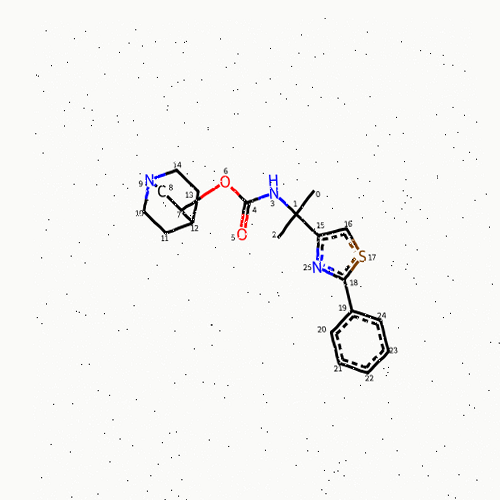 CC(C)(NC(=O)OC1CN2CCC1CC2)c1csc(-c2ccccc2)n1